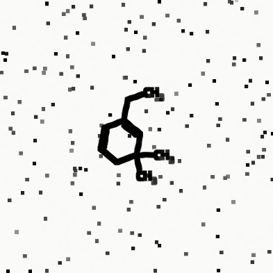 CCC1=CC(C)(C)CC=C1